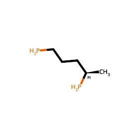 C[C@@H](P)CCCP